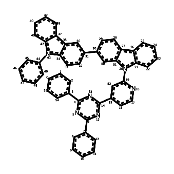 c1ccc(-c2nc(-c3ccccc3)nc(-c3ccnc(-n4c5ccccc5c5ccc(-c6ccc7c(c6)c6ccccc6n7-c6ccccc6)cc54)c3)n2)cc1